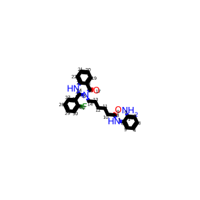 Nc1ccccc1NC(=O)CCCCCN1C(=O)c2ccccc2NC1c1ccccc1F